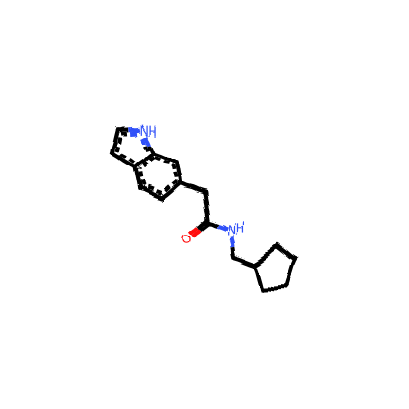 O=C(Cc1ccc2cc[nH]c2c1)NCC1CCCC1